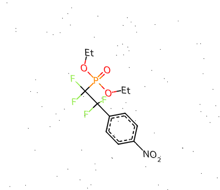 CCOP(=O)(OCC)C(F)(F)C(F)(F)c1ccc([N+](=O)[O-])cc1